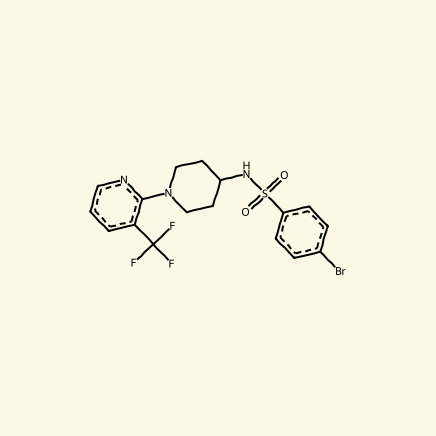 O=S(=O)(NC1CCN(c2ncccc2C(F)(F)F)CC1)c1ccc(Br)cc1